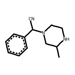 CC1CN(C(C#N)c2ccccc2)CCN1